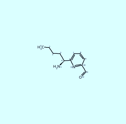 CCCC[C@H](N)c1cccc(C=O)n1